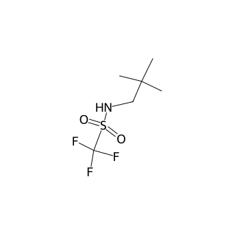 CC(C)(C)CNS(=O)(=O)C(F)(F)F